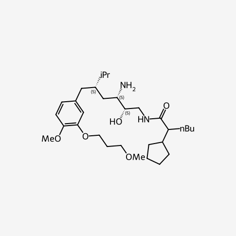 CCCCC(C(=O)NC[C@H](O)[C@@H](N)C[C@H](Cc1ccc(OC)c(OCCCOC)c1)C(C)C)C1CCCC1